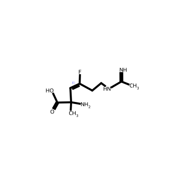 CC(=N)NCC/C(F)=C\C(C)(N)C(=O)O